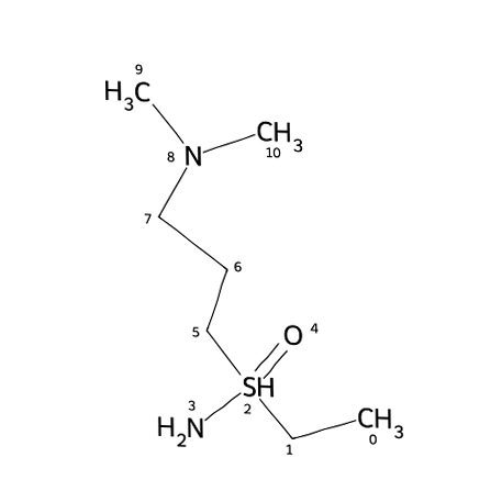 CC[SH](N)(=O)CCCN(C)C